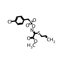 C=CCS/C(=N\OS(=O)(=O)Cc1ccc(Cl)cc1)C(=O)OC